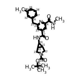 CNC(=O)c1cc(C(=O)NC2C3CN(C(=O)OC(C)(C)C)CC32)cc(Cc2cccc(C)c2)n1